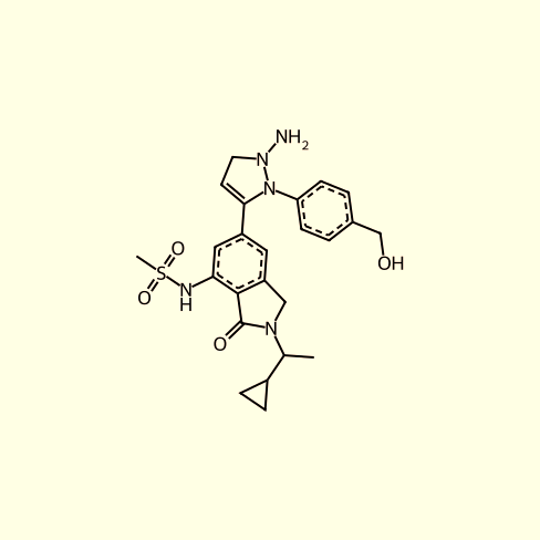 CC(C1CC1)N1Cc2cc(C3=CCN(N)N3c3ccc(CO)cc3)cc(NS(C)(=O)=O)c2C1=O